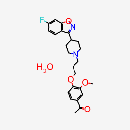 COc1cc(C(C)=O)ccc1OCCCN1CCC(c2noc3cc(F)ccc23)CC1.O